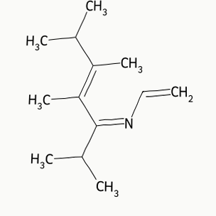 C=C/N=C(\C(C)=C(/C)C(C)C)C(C)C